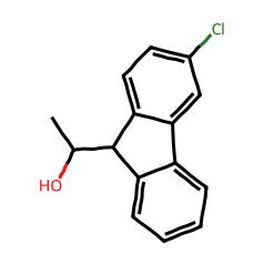 CC(O)C1c2ccccc2-c2cc(Cl)ccc21